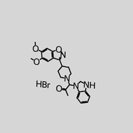 Br.COc1cc2onc(C3CCN(C(C(C)=O)N4CNc5ccccc54)CC3)c2cc1OC